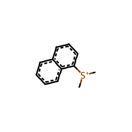 C[S+](C)c1cccc2ccccc12